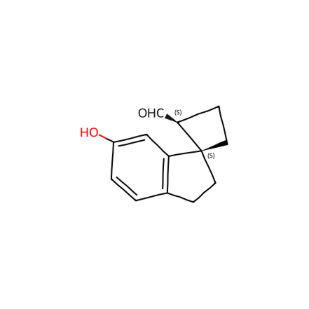 O=C[C@H]1CC[C@]12CCc1ccc(O)cc12